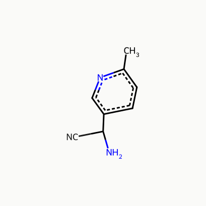 Cc1ccc(C(N)C#N)cn1